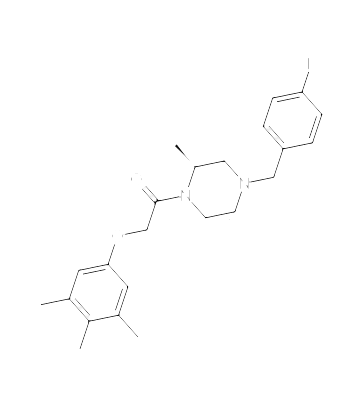 Cc1cc(OCC(=O)N2C[C@@H](C)N(Cc3ccc(F)cc3)C[C@@H]2C)cc(C)c1C